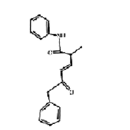 CC(C=CC(=O)Cc1ccccc1)C(=O)Nc1ccccc1